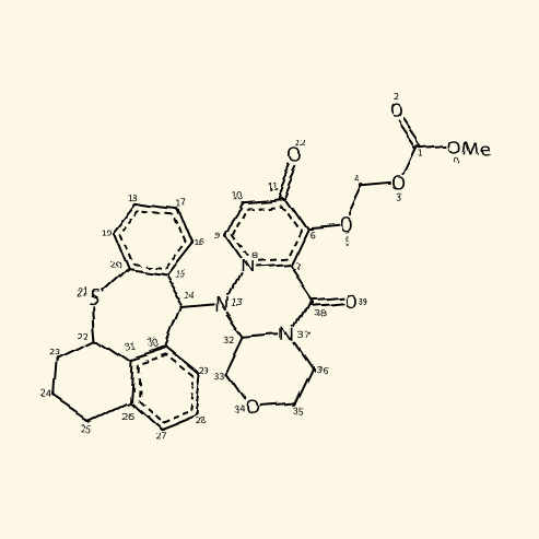 COC(=O)OCOc1c2n(ccc1=O)N(C1c3ccccc3SC3CCCc4cccc1c43)C1COCCN1C2=O